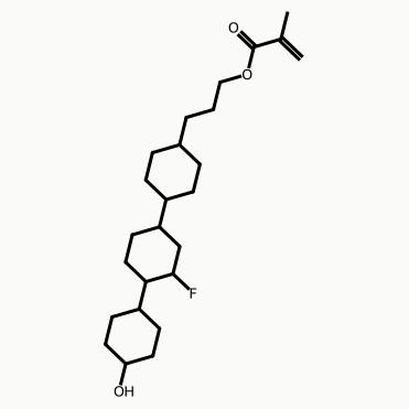 C=C(C)C(=O)OCCCC1CCC(C2CCC(C3CCC(O)CC3)C(F)C2)CC1